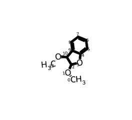 COC1Oc2ccccc2C1OC